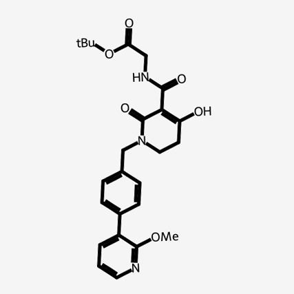 COc1ncccc1-c1ccc(CN2CCC(O)=C(C(=O)NCC(=O)OC(C)(C)C)C2=O)cc1